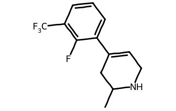 CC1CC(c2cccc(C(F)(F)F)c2F)=CCN1